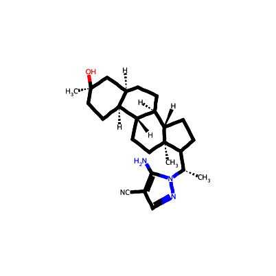 C[C@@H](C1CC[C@H]2[C@@H]3CC[C@@H]4C[C@](C)(O)CC[C@@H]4[C@H]3CC[C@]12C)n1ncc(C#N)c1N